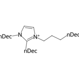 CCCCCCCCCCCCC[n+]1ccn(CCCCCCCCCC)c1CCCCCCCCCC